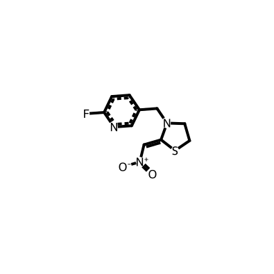 O=[N+]([O-])C=C1SCCN1Cc1ccc(F)nc1